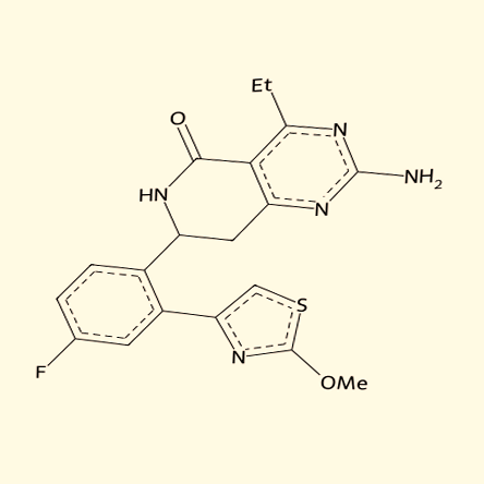 CCc1nc(N)nc2c1C(=O)NC(c1ccc(F)cc1-c1csc(OC)n1)C2